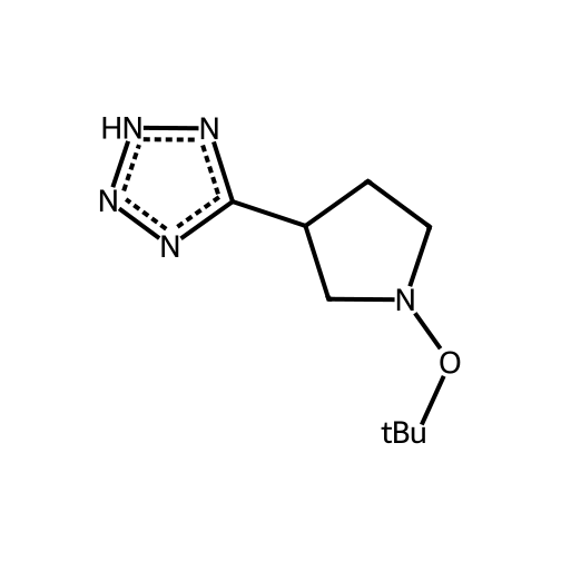 CC(C)(C)ON1CCC(c2nn[nH]n2)C1